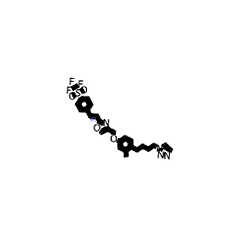 Cc1cc(OCc2coc(/C=C/c3ccc(S(=O)(=O)C(F)(F)F)cc3)n2)ccc1CCCCn1ccnn1